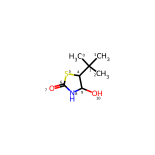 CC(C)(C)C1SC(=O)NC1O